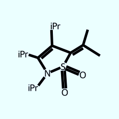 CC(C)=C1C(C(C)C)=C(C(C)C)N(C(C)C)S1(=O)=O